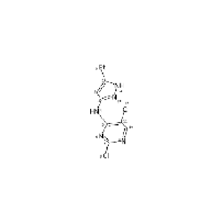 CCc1cc(Nc2nc(Cl)ncc2Cl)n[nH]1